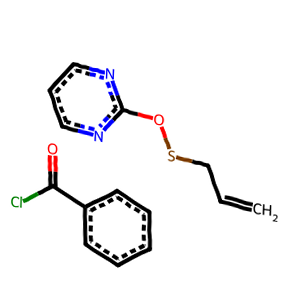 C=CCSOc1ncccn1.O=C(Cl)c1ccccc1